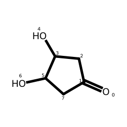 O=C1CC(O)C(O)C1